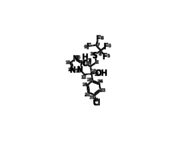 CC(CSC(F)(F)C(F)F)C(O)(Cn1cncn1)c1ccc(Cl)cc1